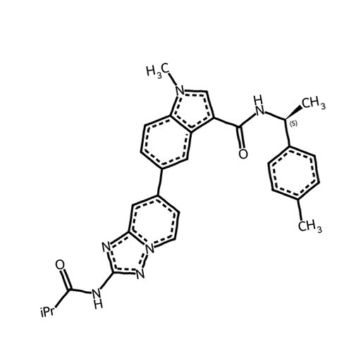 Cc1ccc([C@H](C)NC(=O)c2cn(C)c3ccc(-c4ccn5nc(NC(=O)C(C)C)nc5c4)cc23)cc1